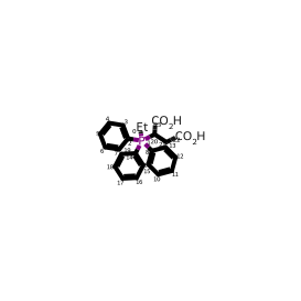 CCP(c1ccccc1)(c1ccccc1)(c1ccccc1)C(CC(=O)O)C(=O)O